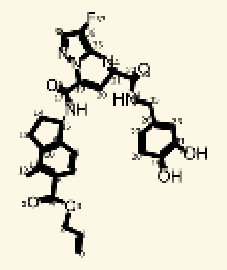 C=CCOC(=O)c1ccc2c(c1C)CC[C@@H]2NC(=O)c1cc(C(=O)NCc2ccc(O)c(O)c2)nc2c(F)cnn12